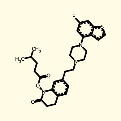 CC(C)CCC(=O)ON1C(=O)CCc2ccc(CCN3CCN(c4cc(F)cc5sccc45)CC3)cc21